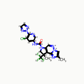 Cc1cn2ncc3c(c2n1)C(C)(C(F)(F)F)CN3C(=O)Nc1cnc(-n2nccn2)c(Cl)c1